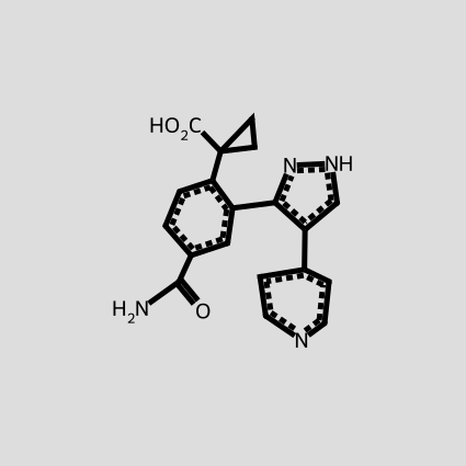 NC(=O)c1ccc(C2(C(=O)O)CC2)c(-c2n[nH]cc2-c2ccncc2)c1